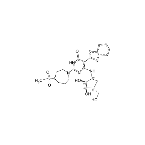 CS(=O)(=O)N1CCCN(c2nc(N[C@@H]3C[C@H](CO)[C@@H](O)[C@H]3O)c(-c3nc4ccccc4s3)c(=O)[nH]2)CC1